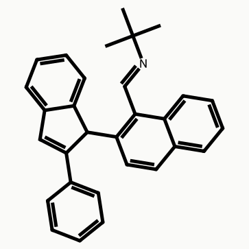 CC(C)(C)N=Cc1c(C2C(c3ccccc3)=Cc3ccccc32)ccc2ccccc12